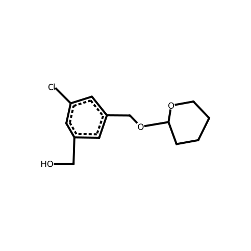 OCc1cc(Cl)cc(COC2CCCCO2)c1